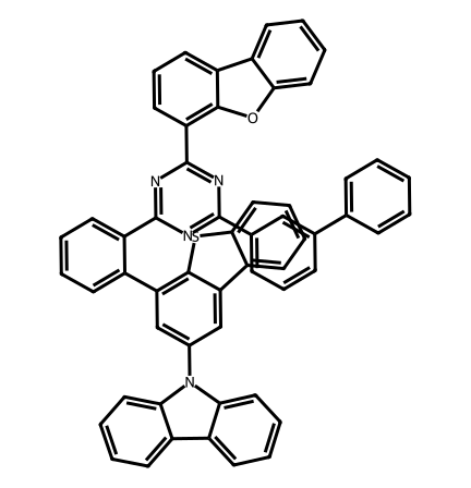 c1ccc(-c2cccc(-c3nc(-c4ccccc4-c4cc(-n5c6ccccc6c6ccccc65)cc5c4sc4ccccc45)nc(-c4cccc5c4oc4ccccc45)n3)c2)cc1